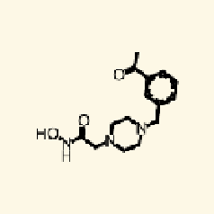 CC(=O)c1cccc(CN2CCN(CC(=O)NO)CC2)c1